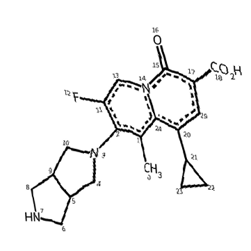 Cc1c(N2CC3CNCC3C2)c(F)cn2c(=O)c(C(=O)O)cc(C3CC3)c12